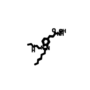 CCC=CCCc1nc2cc(C=CC(=O)NO)ccc2n1CCNCC